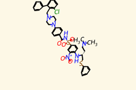 CN(C)CC[C@H](CSc1ccccc1)Nc1ccc(S(=O)(=O)NC(=O)c2ccc(N3CCN(Cc4c(Cl)cccc4-c4ccccc4)CC3)cc2)cc1[N+](=O)[O-]